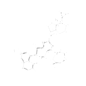 CCc1c(F)ccc2cc(O)cc(-c3ncc4c(N5CCOC[C@@](C)(O)C5)nc(OC[C@]56CCC[C@H]5N(C5CC5)CCC6)nc4c3F)c12